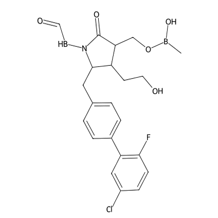 CB(O)OCC1C(=O)N(BC=O)C(Cc2ccc(-c3cc(Cl)ccc3F)cc2)C1CCO